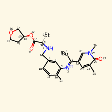 CCC(C)/C(=N\c1cc(CN[C@@H](CC)C(=O)O[C@H]2CCOC2)ccc1C)c1cc(C)c(=O)n(C)c1